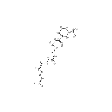 CC(C)=CCCC(C)=CCCC(C)=CCCC(C)CC(=O)N1CCCC(N(C)C)C1